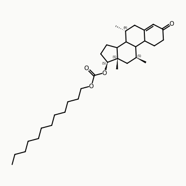 CCCCCCCCCCCCOC(=O)O[C@H]1CCC2C3C(C4CCC(=O)C=C4C[C@H]3C)[C@@H](C)C[C@@]21C